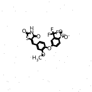 COc1cc(C=C2SC(=O)NC2=O)ccc1Oc1ccc([N+](=O)[O-])c(C(F)(F)F)c1